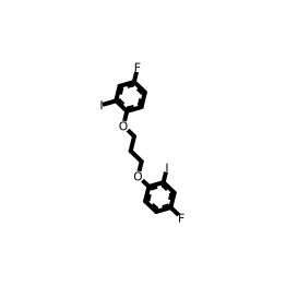 Fc1ccc(OCCCOc2ccc(F)cc2I)c(I)c1